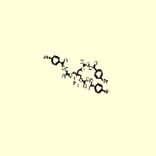 CC(C)c1ccc(C(=O)OOC(=O)OCC(C)(COC(=O)OOC(=O)c2ccc(C(C)C)cc2)COC(=O)OOC(=O)c2ccc(C(C)C)cc2)cc1